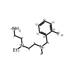 CCN(CCN)CCN(C)Cc1ccccc1F